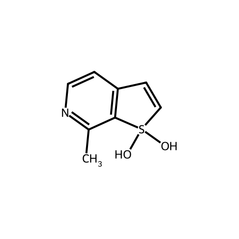 Cc1nccc2c1S(O)(O)C=C2